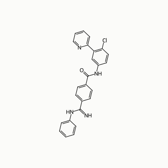 N=C(Nc1ccccc1)c1ccc(C(=O)Nc2ccc(Cl)c(-c3ccccn3)c2)cc1